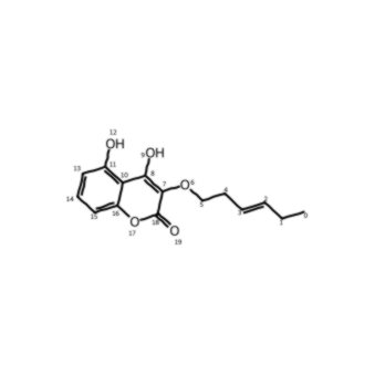 CCC=CCCOc1c(O)c2c(O)cccc2oc1=O